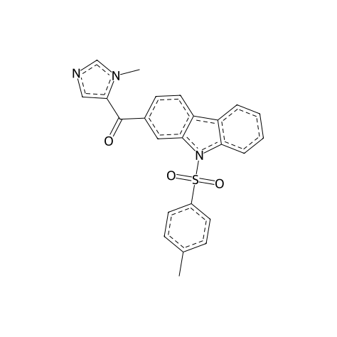 Cc1ccc(S(=O)(=O)n2c3ccccc3c3ccc(C(=O)c4cncn4C)cc32)cc1